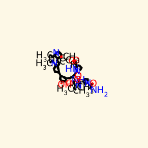 CCc1ncccc1-c1c2c3cc(ccc3n1CC)-c1cc(O)cc(c1)C[C@H](NC(=O)[C@H](C(C)C)N(C)C(=O)[C@H]1CCN(C(=O)CN)C1)C(=O)N1CCC[C@H](N1)C(=O)OCC(C)(C)C2